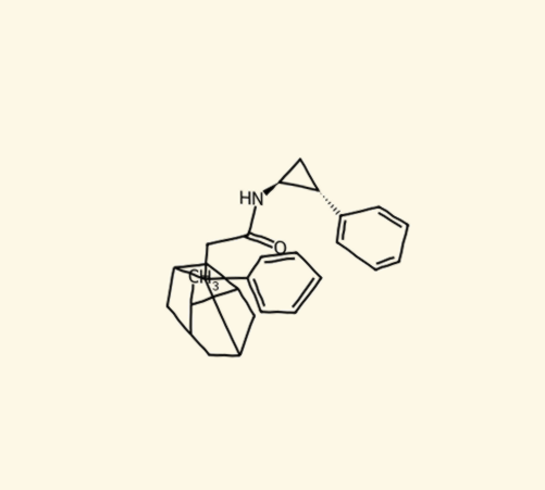 CC1C2CC3CC1CC(C2)C3(CC(=O)N[C@H]1C[C@@H]1c1ccccc1)c1ccccc1